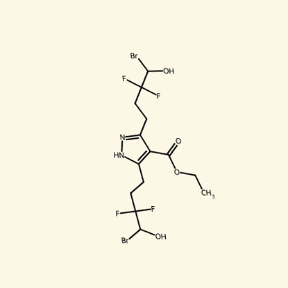 CCOC(=O)c1c(CCC(F)(F)C(O)Br)n[nH]c1CCC(F)(F)C(O)Br